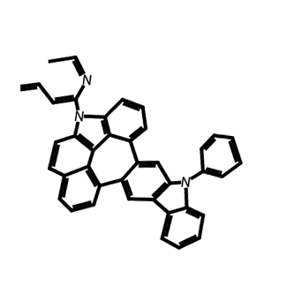 C=C/C=C(\N=C/C)n1c2cccc3c2c2c4c(cccc4ccc21)-c1cc2c4ccccc4n(-c4ccccc4)c2cc1-3